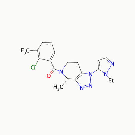 CCn1nccc1-n1nnc2c1CCN(C(=O)c1cccc(C(F)(F)F)c1Cl)[C@H]2C